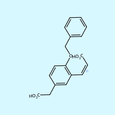 O=C(O)/C=C\c1cc(CC(=O)O)ccc1OCc1ccccc1